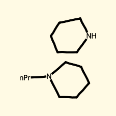 C1CCNCC1.CCCN1CCCCC1